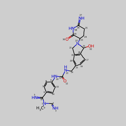 CN(C=N)C(=N)c1ccc(NC(=O)NCc2ccc3c(c2)CN(C2CCC(=N)NC2=O)C3O)cc1